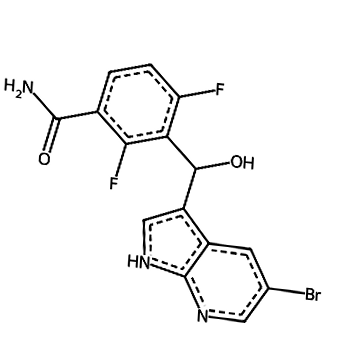 NC(=O)c1ccc(F)c(C(O)c2c[nH]c3ncc(Br)cc23)c1F